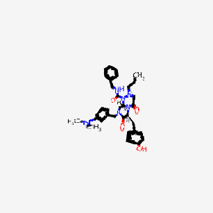 CCCN1CC(=O)N2[C@@H](Cc3ccc(O)cc3)C(=O)N(Cc3cccc(N(C)C)c3)C[C@@H]2N1C(=O)NCc1ccccc1